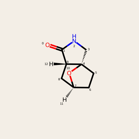 O=C1NC[C@@]23CC[C@@H](C[C@H]12)O3